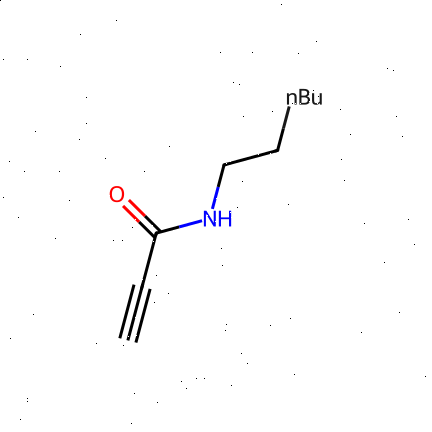 C#CC(=O)NCCCCCC